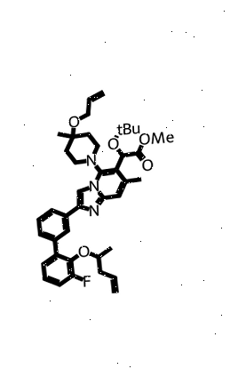 C=CCOC1(C)CCN(c2c(C(OC(C)(C)C)C(=O)OC)c(C)cc3nc(-c4cccc(-c5cccc(F)c5OC(C)CC=C)c4)cn23)CC1